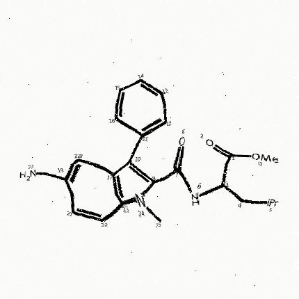 COC(=O)C(CC(C)C)NC(=O)c1c(-c2ccccc2)c2cc(N)ccc2n1C